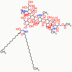 CCCCCCCCCCCCC/C=C/[C@@H](O)[C@H](CO[C@@H]1OC(CO)[C@@H](O[C@@H]2OC(CO)[C@H](O[C@@H]3OC(CO)[C@H](O)[C@H](O[C@@H]4OC(CO)[C@H](O)[C@H](O[C@]5(C(=O)O)CC(O)[C@@H](NC(C)=O)C([C@H](O)[C@H](O)COC(C)=O)O5)C4O)C3NC(C)=O)[C@H](O[C@]3(C(=O)O)CC(O)[C@@H](NC(C)=O)C([C@H](O)[C@H](O)CO)O3)C2O)[C@H](O)C1O)NC(=O)CCCCCCCCCCCCCCCCCCC